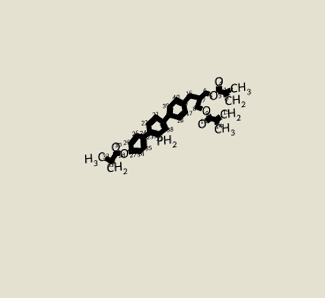 C=C(C)C(=O)OCC(COC(=O)C(=C)C)Cc1ccc(-c2ccc(-c3ccc(OC(=O)C(=C)C)cc3)c(P)c2)cc1